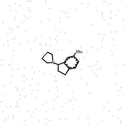 CC(C)(C)c1ccc2c(c1)C(N1CCCC1)CC2